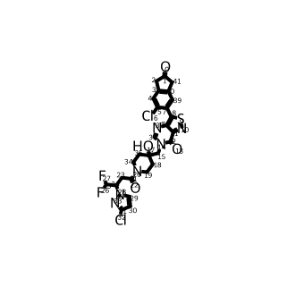 O=C1Cc2cc(Cl)c(-c3snc4c(=O)n(CC5(O)CCN(C(=O)CC(C(F)F)n6ccc(Cl)n6)CC5)cnc34)cc2C1